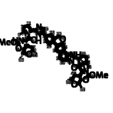 COC(=O)NC(C(=O)N1[C@@H](C)CC[C@H]1c1ncc(-c2ccc3c(c2)COc2cc4c(ccc5nc([C@@H]6CC[C@H](C)N6C(=O)[C@@H](NC(=O)OC)C6C[C@@H](C)O[C@H](C)C6)[nH]c54)cc2-3)[nH]1)[C@H]1C[C@@H](C)O[C@@H](C)C1